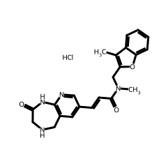 Cc1c(CN(C)C(=O)/C=C/c2cnc3c(c2)CNCC(=O)N3)oc2ccccc12.Cl